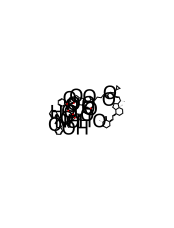 C=C1/C(=C\C=C2/CCC[C@@]3(C)C2CCC3[C@@H](C)/C=C/C(OC(=O)CCCCC(=O)OC2CC3OCC3(OC(C)=O)C3C(OC(=O)c4ccccc4)C4(O)CC(OC(=O)C(O)C(NC(=O)c5ccccc5)c5ccccc5)C(C)=C(C(OC(C)=O)C(=O)C23C)C4(C)C)C2CC2)CCC[C@@H]1O